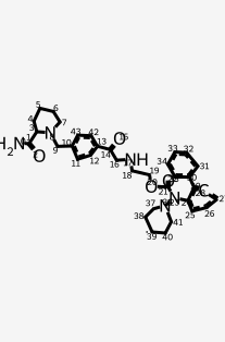 NC(=O)C1CCCCN1Cc1ccc(C(=O)CNCCOC(=O)N(c2ccccc2-c2ccccc2)N2CC[CH]CC2)cc1